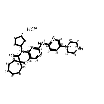 Cl.O=C1N(C2CCCC2)c2nc(Nc3ccc(N4CCNCC4)cn3)ncc2OC12CCCCCC2